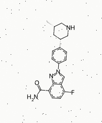 C[C@@H]1CNC[C@H](c2ccc(-n3cc4c(F)ccc(C(N)=O)c4n3)cc2)C1